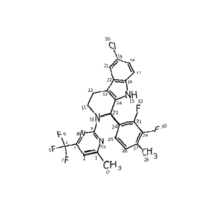 Cc1cc(C(F)(F)F)nc(N2CCc3c([nH]c4ccc(Cl)cc34)C2c2ccc(C)c(F)c2F)n1